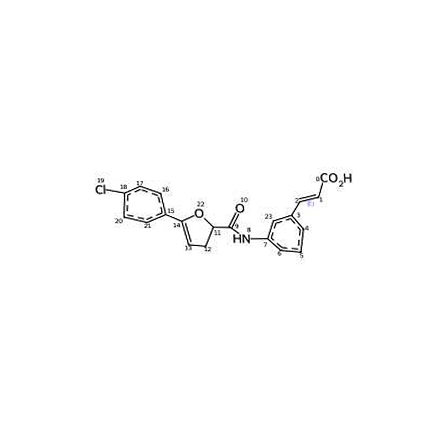 O=C(O)/C=C/c1cccc(NC(=O)C2CC=C(c3ccc(Cl)cc3)O2)c1